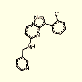 Clc1ccccc1-c1cnn2ccc(NCc3cccnc3)nc12